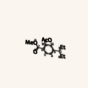 CCC(CC)c1ccc(C(=O)OC)c(OC(C)=O)c1